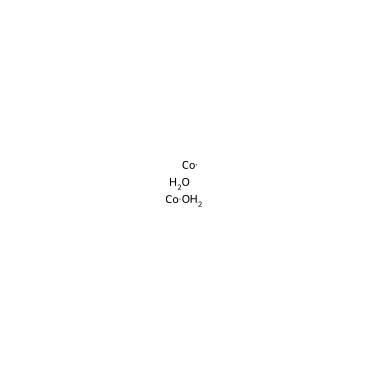 O.O.[Co].[Co]